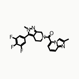 Cc1cn2c(C(=O)N3CCc4c(nn(C)c4-c4cc(F)c(F)c(F)c4)C3)cccc2n1